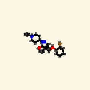 CN1CCC(NC(=O)C(C)(C)COc2ccccc2Br)CC1